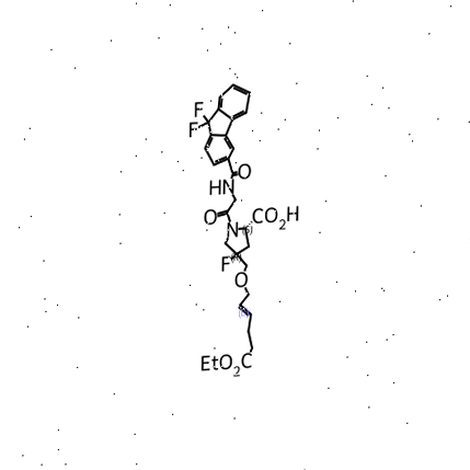 CCOC(=O)CC/C=C/COC[C@@]1(F)C[C@@H](C(=O)O)N(C(=O)CNC(=O)c2ccc3c(c2)-c2ccccc2C3(F)F)C1